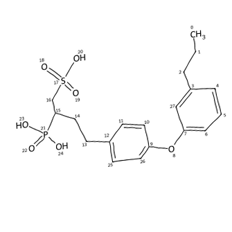 CCCc1cccc(Oc2ccc(CCC(CS(=O)(=O)O)P(=O)(O)O)cc2)c1